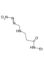 CCNC(=O)CCNCN=N[N+](=O)[O-]